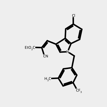 CCOC(=O)/C(C#N)=C/c1cn(Cc2cc(C)cc(C(F)(F)F)c2)c2ccc(Cl)cc12